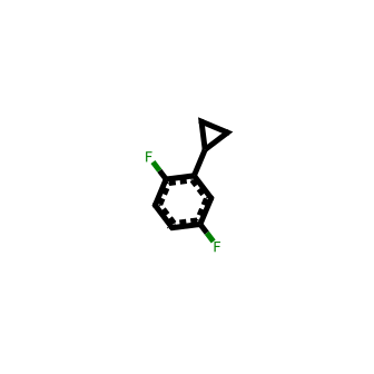 Fc1[c]cc(F)c(C2CC2)c1